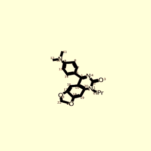 CC(C)n1c(=O)nc(-c2ccc(N(C)C)cc2)c2cc3c(cc21)OCO3